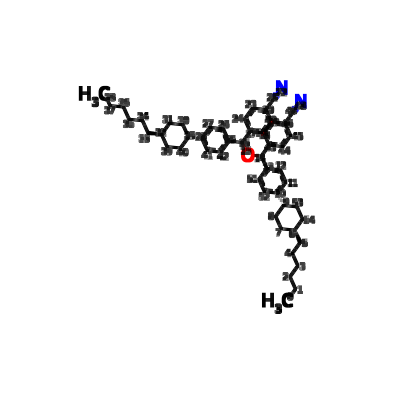 CCCCCC[C@H]1CC[C@H](c2ccc(C(OC(c3ccc(C#N)cc3)c3ccc([C@H]4CC[C@H](CCCCCC)CC4)cc3)c3ccc(C#N)cc3)cc2)CC1